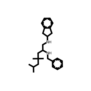 CC(C)CC(C)(C)CC(CNC1Cc2ccccc2C1)NCc1ccccc1